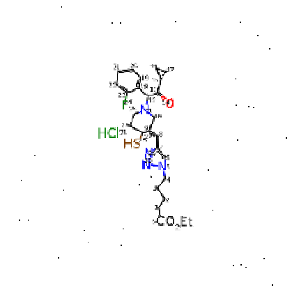 CCOC(=O)CCCCn1cc(C=C2CN(C(C(=O)C3CC3)c3ccccc3F)CCC2S)nn1.Cl